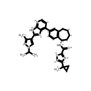 Cc1nn(C(C)C)cc1-c1nc2c(-c3ccc4c(c3)CCCC[C@@H]4NC(=O)c3nc(C4(C)CC4)no3)ccnc2[nH]1